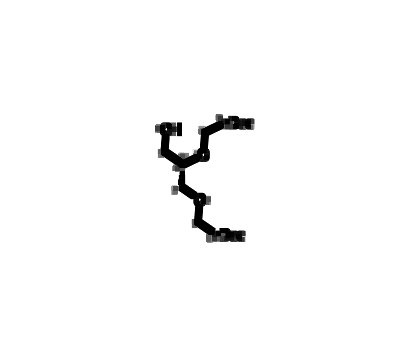 CCCCCCCCCCCOC[C@H](CO)OCCCCCCCCCCC